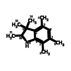 Cc1cc(C)c2c(c1C)NC(C)C2(C)C